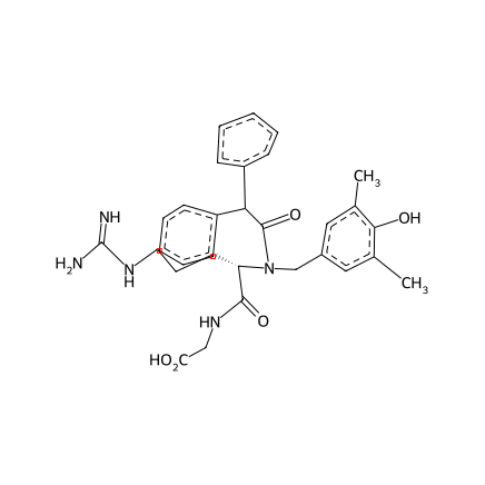 Cc1cc(CN(C(=O)C(c2ccccc2)c2ccccc2)[C@@H](CCCNC(=N)N)C(=O)NCC(=O)O)cc(C)c1O